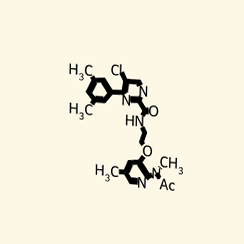 CC(=O)N(C)c1ncc(C)cc1OCCNC(=O)c1ncc(Cl)c(-c2cc(C)cc(C)c2)n1